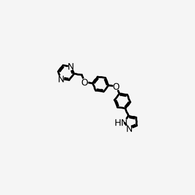 c1cnc(COc2ccc(Oc3ccc(-c4ccn[nH]4)cc3)cc2)cn1